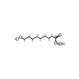 [O]OCCCCCCCCC(=O)OO